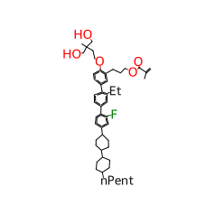 C=C(C)C(=O)OCCCc1cc(-c2ccc(-c3ccc(C4CCC(C5CCC(CCCCC)CC5)CC4)cc3F)cc2CC)ccc1OCCC(C)(CO)CO